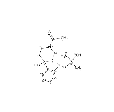 CC(=O)N1CCC(O)(c2ccccc2CSC(C)(C)C)CC1